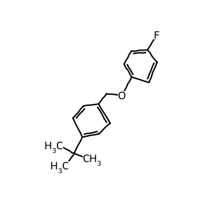 CC(C)(C)c1ccc(COc2ccc(F)cc2)cc1